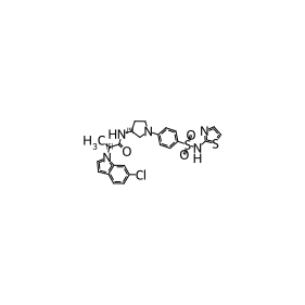 C[C@@H](C(=O)N[C@H]1CCN(c2ccc(S(=O)(=O)Nc3nccs3)cc2)C1)n1ccc2ccc(Cl)cc21